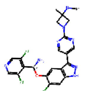 CC(C)NC1(C)CN(c2ncc(-c3n[nH]c4cc(F)c(O[C@H](N)c5c(Cl)cncc5Cl)cc34)cn2)C1